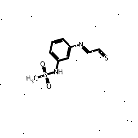 CS(=O)(=O)Nc1cccc(N=CC=S)c1